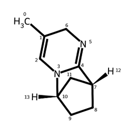 CC1=CN2C(=NC1)[C@@H]1CC[C@H]2C1